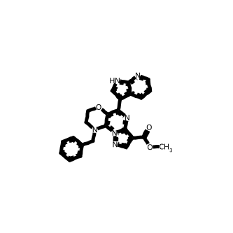 COC(=O)c1cnn2c3c(c(-c4c[nH]c5ncccc45)nc12)OCCN3Cc1ccccc1